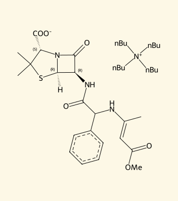 CCCC[N+](CCCC)(CCCC)CCCC.COC(=O)C=C(C)NC(C(=O)N[C@@H]1C(=O)N2[C@@H]1SC(C)(C)[C@@H]2C(=O)[O-])c1ccccc1